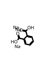 O=C(O)c1ccccc1C(=O)O.[Na].[Na].[Na]